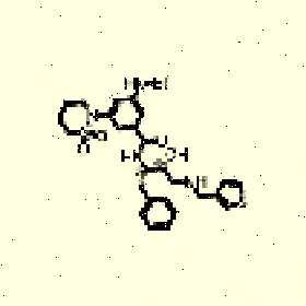 CCNc1cc(C(=O)N[C@@H](Cc2ccccc2)[C@H](O)CNCc2ccsc2)cc(N2CCCCS2(=O)=O)c1